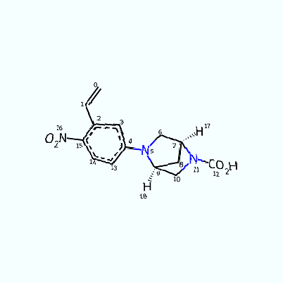 C=Cc1cc(N2C[C@@H]3C[C@H]2CN3C(=O)O)ccc1[N+](=O)[O-]